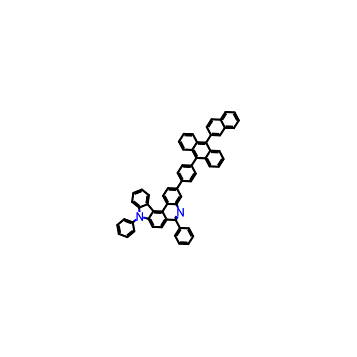 c1ccc(-c2nc3cc(-c4ccc(-c5c6ccccc6c(-c6ccc7ccccc7c6)c6ccccc56)cc4)ccc3c3c2ccc2c3c3ccccc3n2-c2ccccc2)cc1